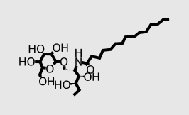 CCCCCCCCCCCCCCC(=O)N[C@@H](COC1OC(CO)C(O)C(O)C1O)[C@H](O)[C@H](O)CC